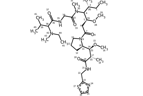 CC[C@@H](C)C([C@H](CC(=O)N1CCC[C@@H]1[C@@H](OC)[C@H](C)C(=O)NCc1nccs1)OC)N(C)C(=O)CNC(=O)C(C(C)C)N(C)CC